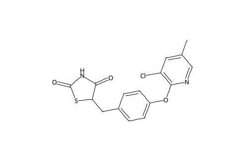 Cc1cnc(Oc2ccc(CC3SC(=O)NC3=O)cc2)c(Cl)c1